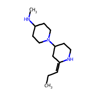 CC/C=C1\CC(N2CCC(NC)CC2)CCN1